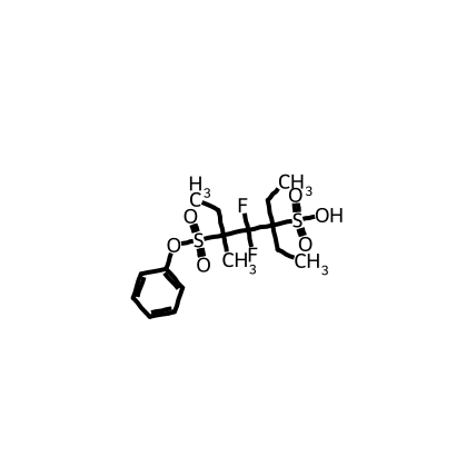 CCC(CC)(C(F)(F)C(C)(CC)S(=O)(=O)Oc1ccccc1)S(=O)(=O)O